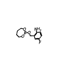 Nc1ccc(F)cc1COB1OCCCCO1